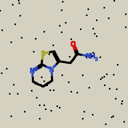 NC(=O)CC1=CSC2=NCCCN12